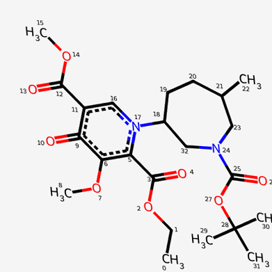 CCOC(=O)c1c(OC)c(=O)c(C(=O)OC)cn1C1CCC(C)CN(C(=O)OC(C)(C)C)C1